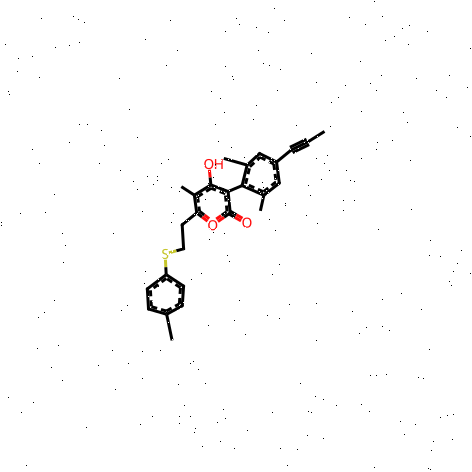 CC#Cc1cc(C)c(-c2c(O)c(C)c(CCSc3ccc(C)cc3)oc2=O)c(C)c1